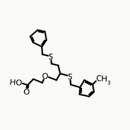 Cc1cccc(CSC(CCSCc2ccccc2)COCCC(=O)O)c1